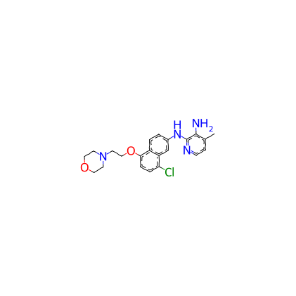 Cc1ccnc(Nc2ccc3c(OCCN4CCOCC4)ccc(Cl)c3c2)c1N